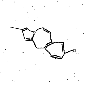 Cc1cn2c(n1)Cc1ccc(Cl)cc1C=N2